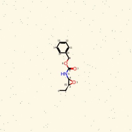 CC[C@@H]1OC1NC(=O)OCc1ccccc1